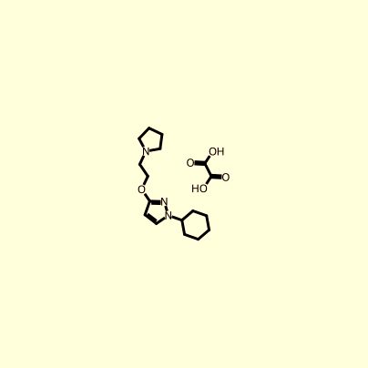 O=C(O)C(=O)O.c1cn(C2CCCCC2)nc1OCCN1CCCC1